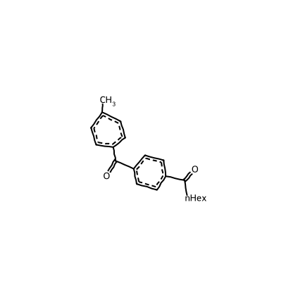 CCCCCCC(=O)c1ccc(C(=O)c2ccc(C)cc2)cc1